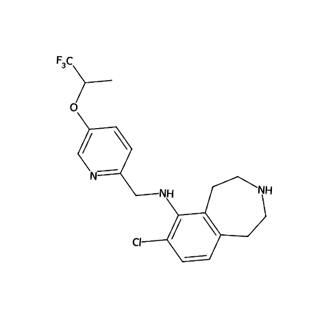 CC(Oc1ccc(CNc2c(Cl)ccc3c2CCNCC3)nc1)C(F)(F)F